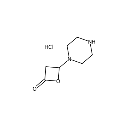 Cl.O=C1CC(N2CCNCC2)O1